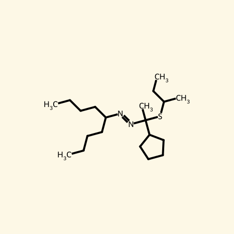 CCCCC(CCCC)N=NC(C)(SC(C)CC)C1CCCC1